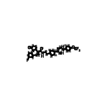 CC(C)c1cc(F)ccc1N1C(=O)CSC1NC(=O)NCCc1ccc(C(=N)/N=C\Nc2ccc(OC(F)(F)F)cc2)cc1